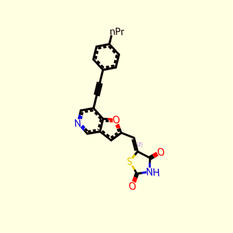 CCCc1ccc(C#Cc2cncc3cc(/C=C4\SC(=O)NC4=O)oc23)cc1